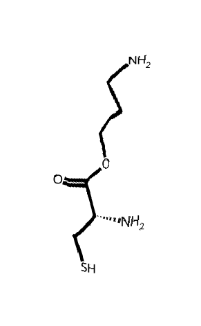 NCCCOC(=O)[C@H](N)CS